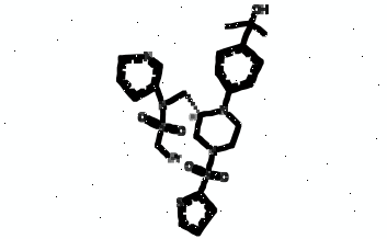 CC(C)CS(=O)(=O)N(C[C@H]1CN(S(=O)(=O)c2cccs2)CCN1c1ccc(C(C)(C)O)cc1)c1cccnc1